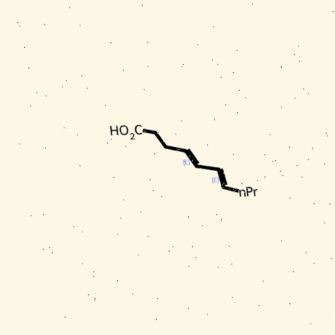 CCC/C=C/C=C/CCC(=O)O